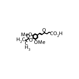 C=C(C)C(=O)Oc1c(OC)cc(C=CC(=O)CCC(=O)O)cc1OC